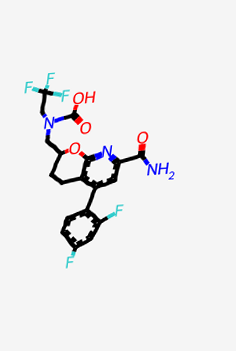 NC(=O)c1cc(-c2ccc(F)cc2F)c2c(n1)OC(CN(CC(F)(F)F)C(=O)O)CC2